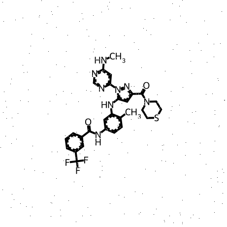 CNc1cc(-n2nc(C(=O)N3CCSCC3)cc2Nc2cc(NC(=O)c3cccc(C(F)(F)F)c3)ccc2C)ncn1